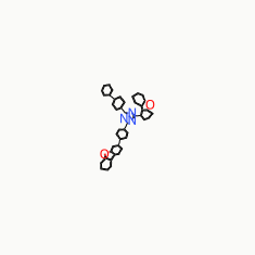 c1ccc(-c2ccc(-c3nc(-c4ccc(-c5ccc6c(c5)oc5ccccc56)cc4)nc(-c4cccc5oc6ccccc6c45)n3)cc2)cc1